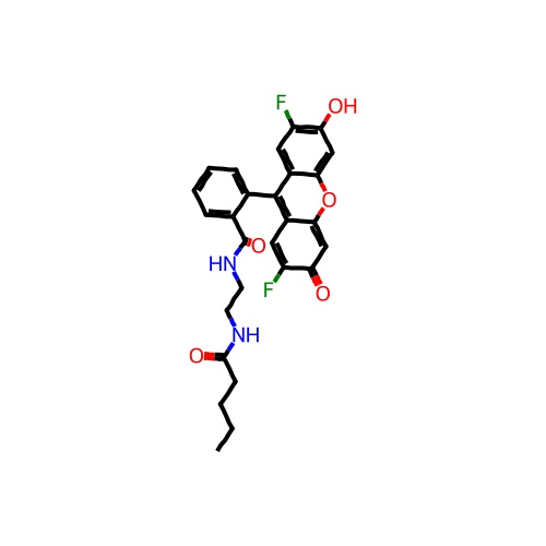 CCCCC(=O)NCCNC(=O)c1ccccc1-c1c2cc(F)c(=O)cc-2oc2cc(O)c(F)cc12